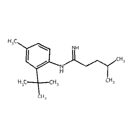 Cc1ccc(NC(=N)CCC(C)C)c(C(C)(C)C)c1